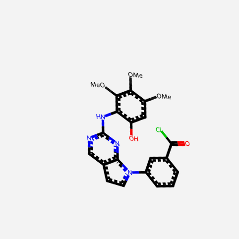 COc1cc(O)c(Nc2ncc3ccn(-c4cccc(C(=O)Cl)c4)c3n2)c(OC)c1OC